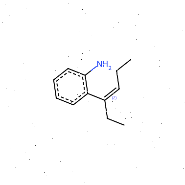 CC/C=C(/CC)c1ccccc1N